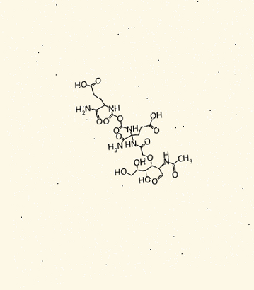 CC(=O)N[C@@H](C=O)[C@@H](OCC(=O)NC(CCC(=O)O)(NC(=O)OC(=O)NC(CCC(=O)O)C(N)=O)C(N)=O)[C@H](O)[C@H](O)CO